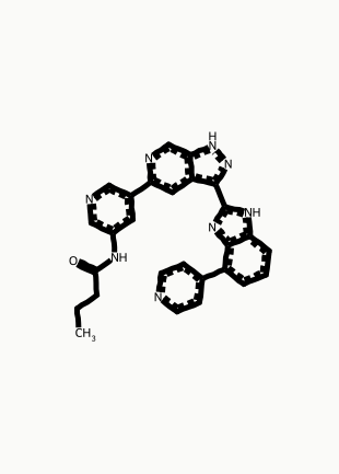 CCCC(=O)Nc1cncc(-c2cc3c(-c4nc5c(-c6ccncc6)cccc5[nH]4)n[nH]c3cn2)c1